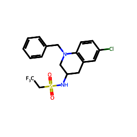 O=S(=O)(CC(F)(F)F)NC1Cc2cc(Cl)ccc2N(Cc2ccccc2)C1